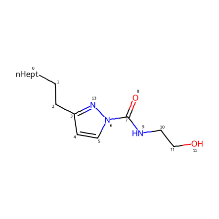 CCCCCCCCCc1ccn(C(=O)NCCO)n1